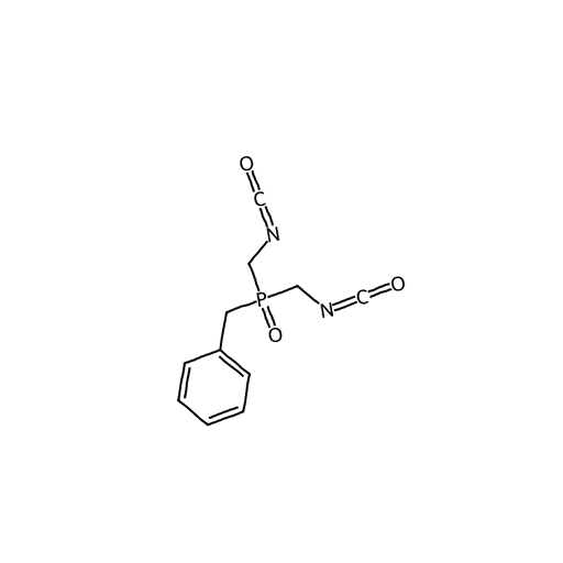 O=C=NCP(=O)(CN=C=O)Cc1ccccc1